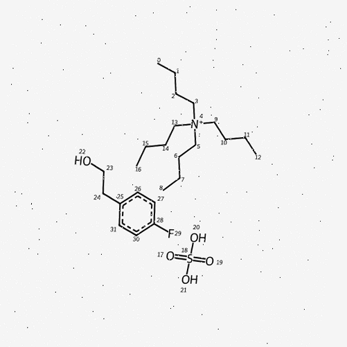 CCCC[N+](CCCC)(CCCC)CCCC.O=S(=O)(O)O.OCCc1ccc(F)cc1